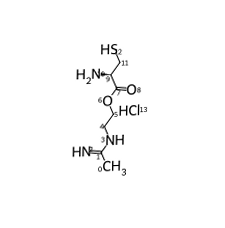 CC(=N)NCCOC(=O)[C@@H](N)CS.Cl